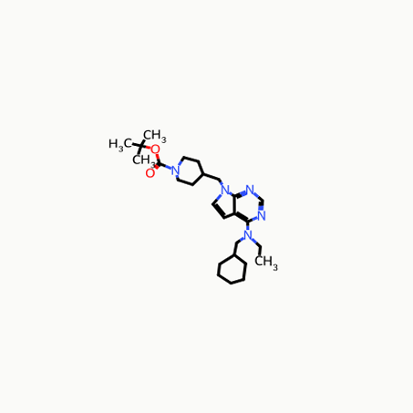 CCN(CC1CCCCC1)c1ncnc2c1ccn2CC1CCN(C(=O)OC(C)(C)C)CC1